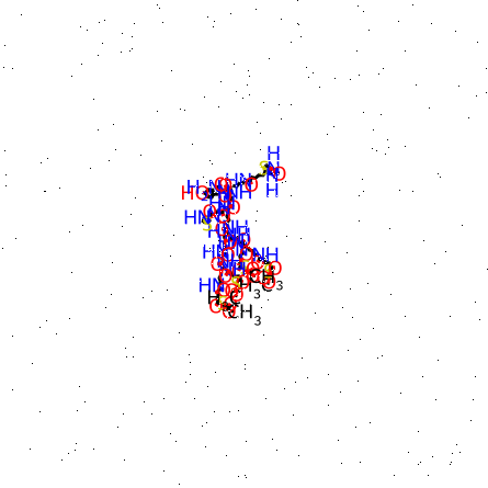 COC(=O)CSC(=O)CCCC(=O)NCCCCC(NC(=O)CCCC(=O)SCC(=O)OC)C(=O)NCC(=O)NC(CCCCNC(=O)CNC(=O)[C@H](CCCCNC(=O)CCCC(=O)SCC(=O)OC)NC(=O)CCCC(=O)SCC(=O)OC)C(=O)NCCCC[C@H](NC(=O)CNC(=O)C1CSCN1)C(=O)NCC(=O)N[C@@H](CCCCNC(=O)CCCCC1SCC2NC(=O)NC21)C(=O)NC(Cc1ccc(O)cc1)C(N)=O